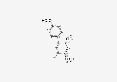 Cc1cc(-c2cc[n+](C(=O)O)cc2)cc[n+]1C(=O)O.[Cl-].[Cl-]